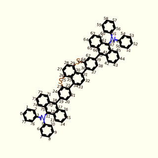 c1ccc(N(c2ccccc2)c2c3ccccc3c(-c3ccc4c(c3)Sc3ccc5c6c(ccc-4c36)-c3ccc(-c4c6ccccc6c(N(c6ccccc6)c6ccccc6)c6ccccc46)cc3S5)c3ccccc23)cc1